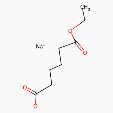 CCOC(=O)CCCCC(=O)[O-].[Na+]